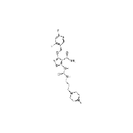 CN1CCN(CCCNC(=O)Nc2snc(OCc3ccc(F)cc3F)c2C(N)=O)CC1